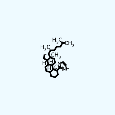 CC(C)CCC[C@@H](C)[C@H]1CC[C@H]2[C@@H]3CCC4CCCC(c5ncc[nH]5)[C@]4(C)[C@H]3CC[C@]12C